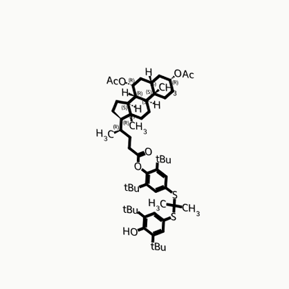 CC(=O)O[C@@H]1CC[C@@]2(C)[C@@H](C1)C[C@@H](OC(C)=O)[C@@H]1[C@@H]2CC[C@]2(C)[C@@H]([C@H](C)CCC(=O)Oc3c(C(C)(C)C)cc(SC(C)(C)Sc4cc(C(C)(C)C)c(O)c(C(C)(C)C)c4)cc3C(C)(C)C)CC[C@@H]12